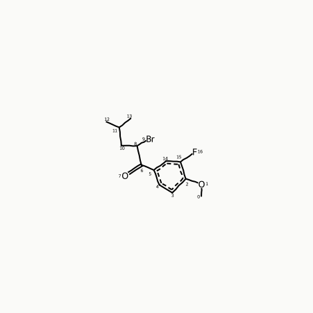 COc1ccc(C(=O)C(Br)CC(C)C)cc1F